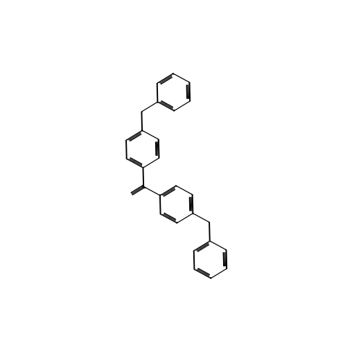 O=C(c1ccc(Cc2ccccc2)cc1)c1ccc(Cc2ccccc2)cc1